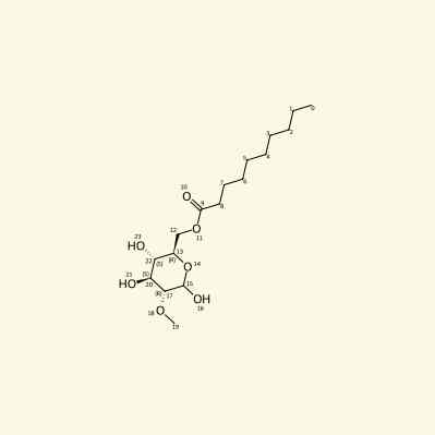 CCCCCCCCCC(=O)OC[C@H]1OC(O)[C@H](OC)[C@@H](O)[C@@H]1O